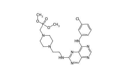 COP(=O)(CN1CCN(CCNc2ncc3ncnc(Nc4cccc(Cl)c4)c3n2)CC1)OC